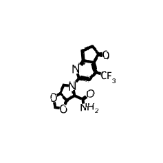 NC(=O)C1C2OCOC2CN1c1cc(C(F)(F)F)c2c(n1)CCC2=O